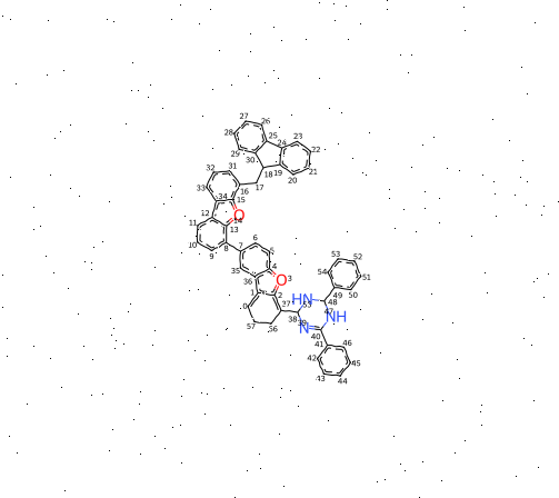 C1=c2c(oc3ccc(-c4cccc5c4oc4c(CC6c7ccccc7-c7ccccc76)cccc45)cc23)=C(C2N=C(c3ccccc3)NC(c3ccccc3)N2)CC1